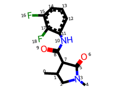 CC1CN(C)C(=O)C1C(=O)Nc1cccc(F)c1F